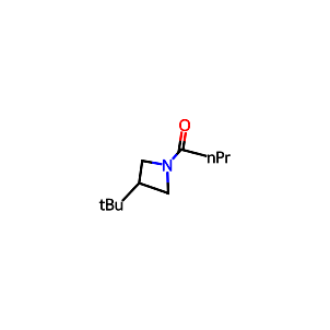 CCCC(=O)N1CC(C(C)(C)C)C1